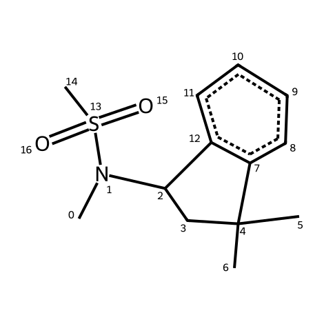 CN(C1CC(C)(C)c2ccccc21)S(C)(=O)=O